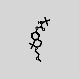 COCCN1CCc2cc(OC(=O)NC(C)(C)C)ccc2C1(C)C